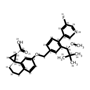 CO[C@@H](c1cc(COc2ccc3c(c2)[C@@]2(CCC3)C[C@@H]2C(=O)O)ccc1-c1cncc(F)c1)C(C)(C)C